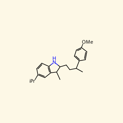 COc1ccc(C(C)CCC2Nc3ccc(C(C)C)cc3C2C)cc1